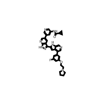 O=C(Nc1cncc(-c2cnc3[nH]nc(-c4cc5c(-c6cc(F)cc(OCCN7CCCC7)c6)cncc5[nH]4)c3c2)c1)C1CC1